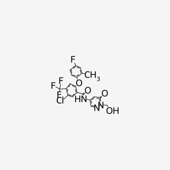 Cc1cc(F)ccc1Oc1cc(C(F)(F)F)c(Cl)cc1C(=O)Nc1cnn(CO)c(=O)c1